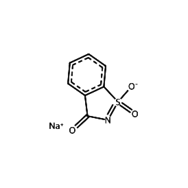 O=C1N=S(=O)([O-])c2ccccc21.[Na+]